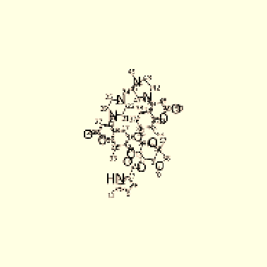 CO[C@@H]1[C@H](OC(=O)c2ccc(C)[nH]2)[C@@H](Oc2ccc3c(N4CCN(C)CC4)cc(=O)oc3c2C)[C@@H](Oc2ccc3c(N4CCN(C)CC4)cc(=O)oc3c2C)OC1(C)C